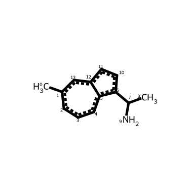 Cc1cccc2c(C(C)N)ccc-2c1